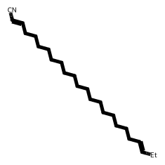 CCC=CCCCCCCCCCCCCCCCCCC=[C]C#N